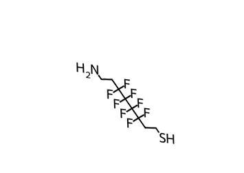 NCCC(F)(F)C(F)(F)C(F)(F)C(F)(F)CCS